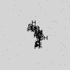 O=c1[nH]c(=O)n([C@H]2C[C@@H]3O[PH](O)(OCc4ccc(F)c(F)c4)OC[C@H]3O2)cc1F